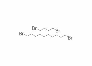 BrCCCCBr.BrCCCCCCCCCCBr